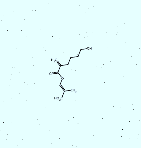 C=C(CCCCO)C(=O)OC=C(C)C(=O)O